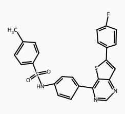 Cc1ccc(S(=O)(=O)Nc2ccc(-c3ncnc4cc(-c5ccc(F)cc5)sc34)cc2)cc1